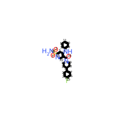 NS(=O)(=O)c1cc(Nc2ccccc2)c(C(=O)N2CCC(c3ccc(F)cc3)CC2)cn1